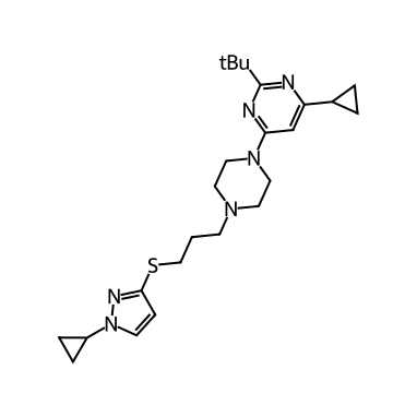 CC(C)(C)c1nc(C2CC2)cc(N2CCN(CCCSc3ccn(C4CC4)n3)CC2)n1